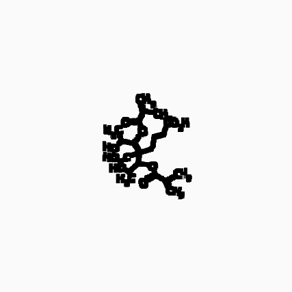 C=C(C)C(=O)OC(C(C)O)C(CCCC(=O)O)(C(=O)O)C(OC(=O)C(=C)C)C(C)O